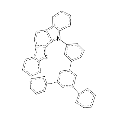 c1ccc(-c2cc(-c3ccccc3)cc(-c3cccc(-n4c5ccccc5c5ccc6c7ccccc7sc6c54)c3)c2)cc1